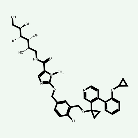 Cn1c(C(=O)NC[C@H](O)[C@@H](O)[C@H](O)[C@H](O)CO)cnc1SCc1ccc(Cl)c(COC2(c3cnccc3-c3ccccc3OC3CC3)CC2)c1